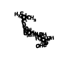 Cc1cc(C)cc(COC[C@@H]2COc3ccc(CCNC[C@H](O)c4ccc(OC=O)c(CO)c4)cc3O2)c1